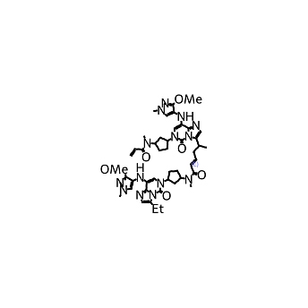 C=CC(=O)N(C)C1CCC(n2cc(Nc3cn(C)nc3OC)c3ncc(C(C)C/C=C/C(=O)N(C)C4CCC(n5cc(Nc6cn(C)nc6OC)c6ncc(CC)n6c5=O)C4)n3c2=O)C1